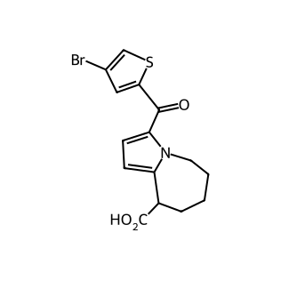 O=C(c1cc(Br)cs1)c1ccc2n1CCCCC2C(=O)O